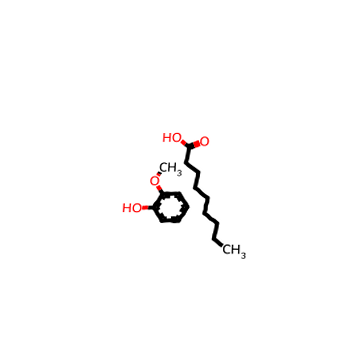 CCCCCCCCC(=O)O.COc1ccccc1O